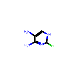 NC1=CNC(Cl)N=C1N